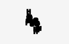 COc1ccc(C2=NN2C(F)(F)F)cc1C(=O)Nc1cc(I)cc2c1CCNC2